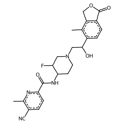 Cc1nc(C(=O)NC2CCN(CC(O)c3ccc4c(c3C)COC4=O)CC2F)ccc1C#N